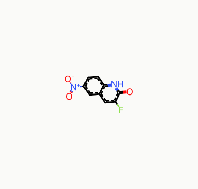 O=c1[nH]c2ccc([N+](=O)[O-])cc2cc1F